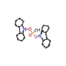 CP(=O)(On1c2ccccc2c2ccccc21)On1c2ccccc2c2ccccc21